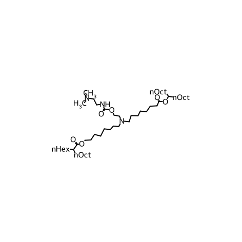 CCCCCCCCC(CCCCCCCC)OC(=O)CCCCCCCN(CCCCCCCCOC(=O)C(CCCCCC)CCCCCCCC)CCOC(=O)NCCN(C)C